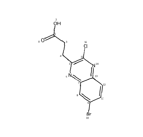 O=C(O)CCc1nc2cc(Br)ccc2nc1Cl